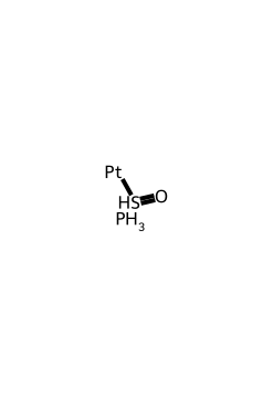 O=[SH][Pt].P